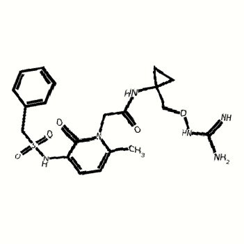 Cc1ccc(NS(=O)(=O)Cc2ccccc2)c(=O)n1CC(=O)NC1(CONC(=N)N)CC1